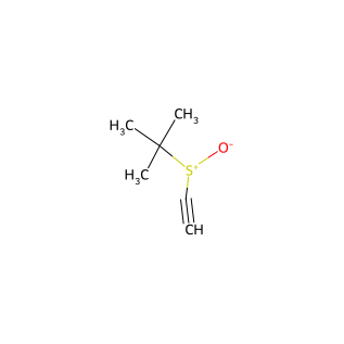 C#C[S+]([O-])C(C)(C)C